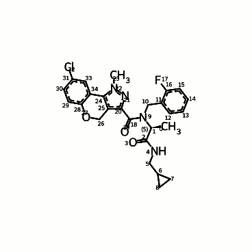 C[C@@H](C(=O)NCC1CC1)N(Cc1ccccc1F)C(=O)c1nn(C)c2c1COc1ccc(Cl)cc1-2